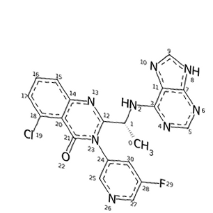 C[C@@H](Nc1ncnc2[nH]cnc12)c1nc2cccc(Cl)c2c(=O)n1-c1cncc(F)c1